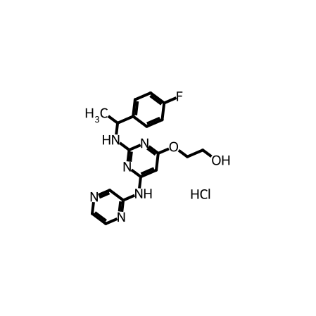 CC(Nc1nc(Nc2cnccn2)cc(OCCO)n1)c1ccc(F)cc1.Cl